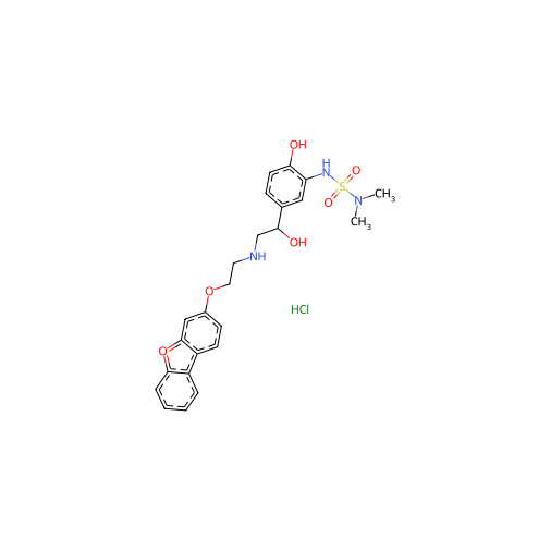 CN(C)S(=O)(=O)Nc1cc(C(O)CNCCOc2ccc3c(c2)oc2ccccc23)ccc1O.Cl